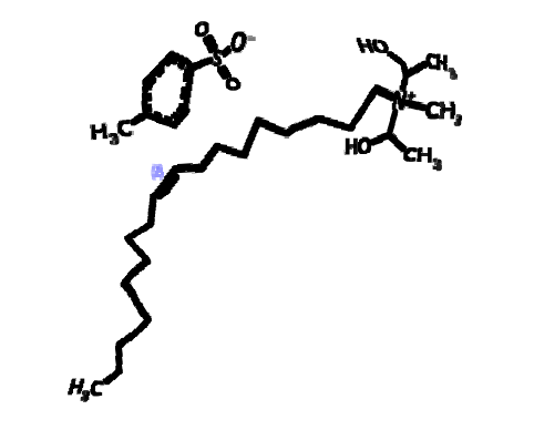 CCCCCCCC/C=C\CCCCCCCC[N+](C)(C(C)O)C(C)O.Cc1ccc(S(=O)(=O)[O-])cc1